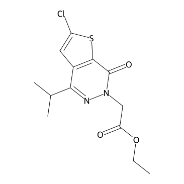 CCOC(=O)Cn1nc(C(C)C)c2cc(Cl)sc2c1=O